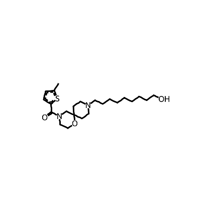 Cc1ccc(C(=O)N2CCOC3(CCN(CCCCCCCCCO)CC3)C2)s1